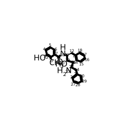 Cc1c(O)cccc1C(=O)N[C@@H](Cc1ccccc1)[C@@H](O)C[C@@H](N)Cc1ccccc1